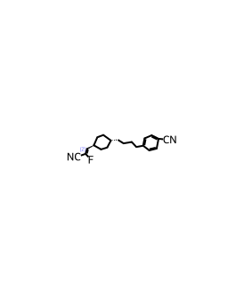 N#C/C(F)=C/[C@H]1CC[C@H](CCCCc2ccc(C#N)cc2)CC1